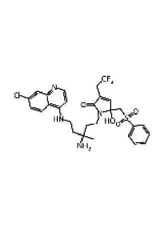 CC(N)(CCNc1ccnc2cc(Cl)ccc12)CCN1C(=O)C(CC(F)(F)F)=CC1(O)CS(=O)(=O)c1ccccc1